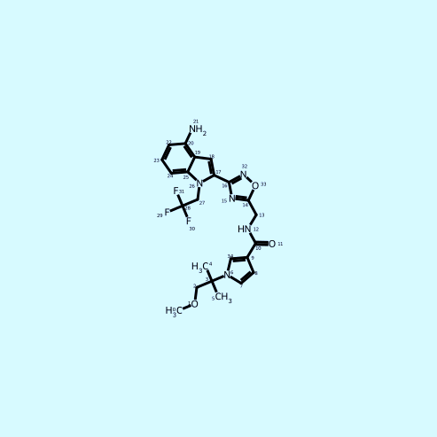 COCC(C)(C)n1ccc(C(=O)NCc2nc(-c3cc4c(N)cccc4n3CC(F)(F)F)no2)c1